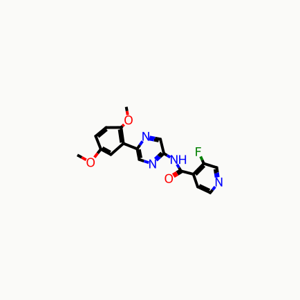 COc1ccc(OC)c(-c2cnc(NC(=O)c3ccncc3F)cn2)c1